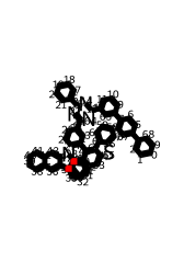 c1ccc(-c2ccc(-c3cccc(-c4nc(-c5ccccc5)nc(-c5ccc(-n6c7ccccc7c7cc8ccccc8cc76)c(-c6c7ccccc7cc7sc8ccccc8c67)c5)n4)c3)cc2)cc1